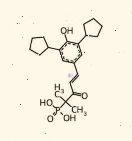 CC(C)(C(=O)/C=C/c1cc(C2CCCC2)c(O)c(C2CCCC2)c1)P(=O)(O)O